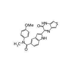 COc1ccc(N(C)C(=O)c2ccc3[nH]c(-c4nc5cscc5[nH]c4=O)cc3c2)cc1